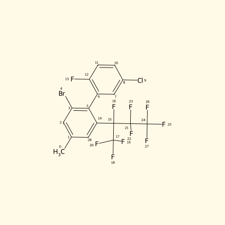 Cc1[c]c(Br)c(-c2cc(Cl)ccc2F)c(C(F)(C(F)(F)F)C(F)(F)C(F)(F)F)c1